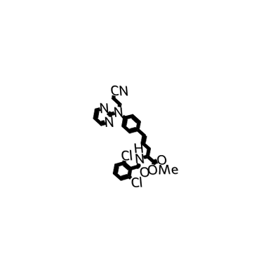 COC(=O)C(CC=Cc1ccc(N(CCC#N)c2ncccn2)cc1)NC(=O)c1c(Cl)cccc1Cl